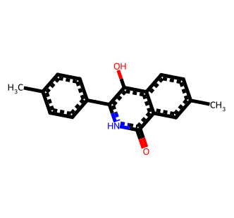 Cc1ccc(-c2[nH]c(=O)c3cc(C)ccc3c2O)cc1